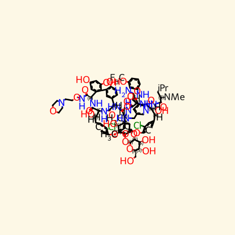 CN[C@H](CC(C)C)C(=O)N[C@H]1C(=O)N[C@@H](CC(N)=O)C(=O)N[C@H]2C(=O)N[C@H]3C(=O)N[C@H](C(=O)N[C@@H](C(=O)NOCCN4CCOCC4)c4cc(O)cc(O)c4-c4cc3ccc4O)[C@H](O)c3ccc(c(Cl)c3)Oc3cc2cc(c3O[C@@H]2O[C@H](CO)[C@@H](O)[C@H](O)[C@H]2O[C@H]2C[C@](C)(NCc3cncc(C(=O)Nc4cccc(OC(F)(F)F)c4)c3)[C@H](O)[C@H](C)O2)Oc2ccc(cc2Cl)[C@H]1O